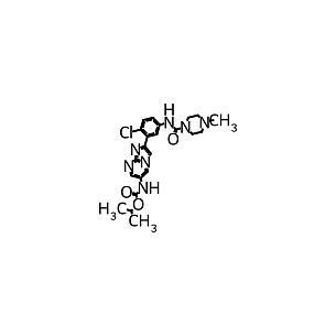 CC(C)OC(=O)Nc1cnc2nc(-c3cc(NC(=O)N4CCN(C)CC4)ccc3Cl)cn2c1